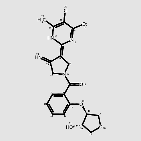 CCC1=N/C(=C2\CN(C(=O)c3ccccc3O[C@H]3COC[C@@H]3O)CC2=N)NC(C)=C1Cl